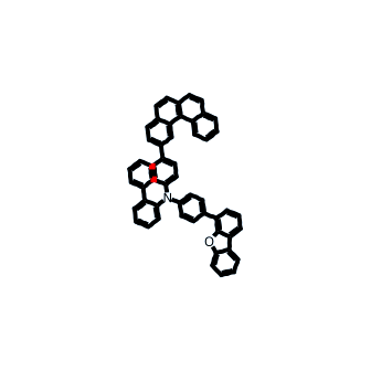 c1ccc(-c2ccccc2N(c2ccc(-c3ccc4ccc5ccc6ccccc6c5c4c3)cc2)c2ccc(-c3cccc4c3oc3ccccc34)cc2)cc1